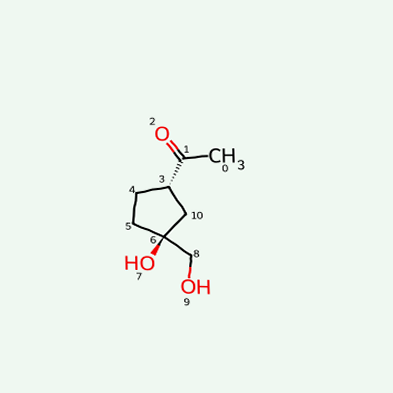 CC(=O)[C@H]1CC[C@@](O)(CO)C1